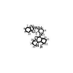 C[C@H]1[C@H](Nc2nc3ccccc3o2)CCCN1C(=O)c1cccc(F)c1-c1ncccn1